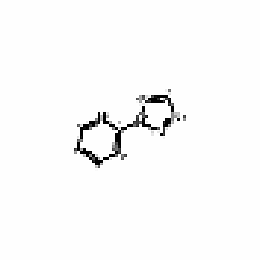 [c]1ccnc(-n2ncnn2)c1